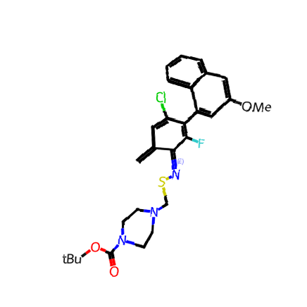 C=C1C=C(Cl)C(c2cc(OC)cc3ccccc23)=C(F)/C1=N/SCN1CCN(C(=O)OC(C)(C)C)CC1